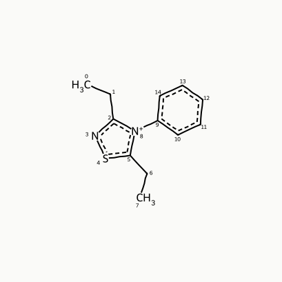 CCc1nsc(CC)[n+]1-c1ccccc1